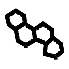 c1ccc2c(c1)cnc1c3cnccc3ccc21